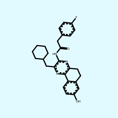 O=C(Cc1ccc(F)cc1)Nc1nc2c(nc1CC1CCCCC1)-c1ccc(O)cc1CC2